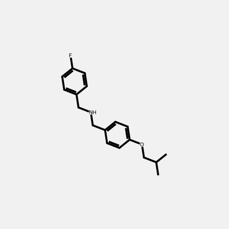 CC(C)COc1ccc(CNCc2ccc(F)cc2)cc1